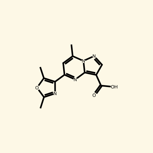 Cc1nc(-c2cc(C)n3ncc(C(=O)O)c3n2)c(C)o1